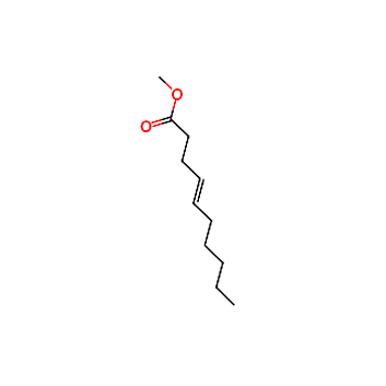 CCCCC/C=C/CCC(=O)OC